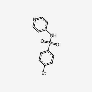 CCc1ccc(S(=O)(=O)Nc2ccncc2)cc1